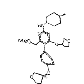 COCc1nc(N[C@H]2CC[C@H](C)CC2)nc(OC2COC2)c1-c1ccc(O[C@H]2CCOC2)cc1